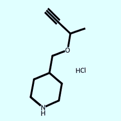 C#CC(C)OCC1CCNCC1.Cl